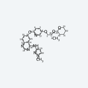 C[C@H](COc1ccc(Oc2ccc3ncnc(Nc4ccn(C)n4)c3c2)nc1)OC1CCCCO1